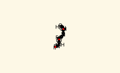 Cn1nc(N2CCC(=O)NC2=O)c2ccc(C3CCN(CC4CCN(c5cc(F)cc(S(=O)(=O)N6CCC(Nc7ncc(C(F)(F)F)cn7)CC6)c5)CC4)CC3)cc21